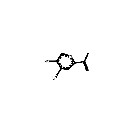 C=C(C)c1cc(N)c(C#N)cn1